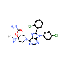 CC(C)NC1(OC(N)=O)CCN(c2ncnc3c2nc(-c2ccccc2Cl)n3-c2ccc(Cl)cc2)CC1